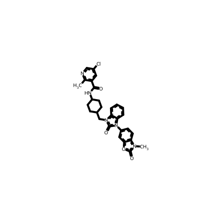 Cc1ncc(Cl)cc1C(=O)NC1CCC(Cn2c(=O)n(-c3ccc4c(c3)oc(=O)n4C)c3ccccc32)CC1